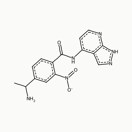 CC(N)c1ccc(C(=O)Nc2ccnc3[nH]ncc23)c([N+](=O)[O-])c1